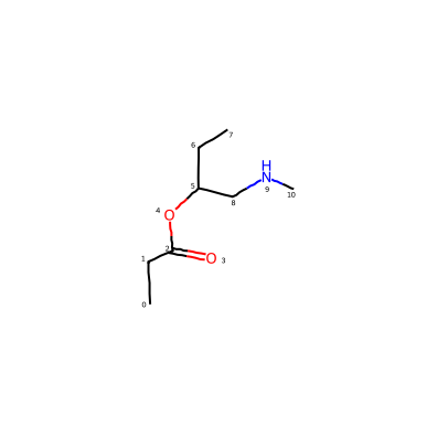 CCC(=O)OC(CC)CNC